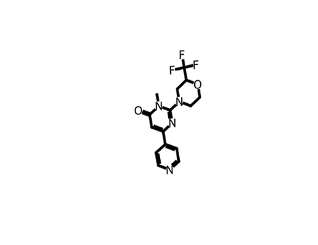 Cn1c(N2CCOC(C(F)(F)F)C2)nc(-c2ccncc2)cc1=O